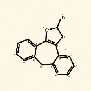 CC(C)C1CC2=C(O1)c1ccccc1Cc1ccccc12